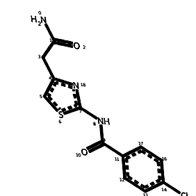 NC(=O)Cc1csc(NC(=O)c2ccc(Cl)cc2)n1